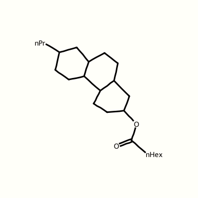 CCCCCCC(=O)OC1CCC2C(CCC3CC(CCC)CCC32)C1